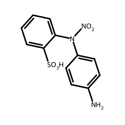 Nc1ccc(N(c2ccccc2S(=O)(=O)O)[N+](=O)[O-])cc1